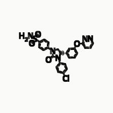 NS(=O)(=O)c1ccc(N2C[C@H](c3cccc(Oc4cccnn4)c3)N(c3ccc(Cl)cc3)C2=O)cc1